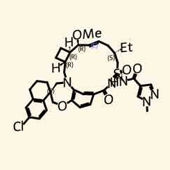 CC[C@H]1C/C=C/[C@H](OC)[C@@H]2CC[C@H]2CN2C[C@@]3(CCCc4cc(Cl)ccc43)COc3ccc(cc32)C(=O)N=[S@@](=O)(NC(=O)c2cnn(C)c2)C1